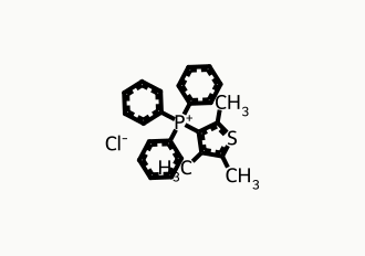 Cc1sc(C)c([P+](c2ccccc2)(c2ccccc2)c2ccccc2)c1C.[Cl-]